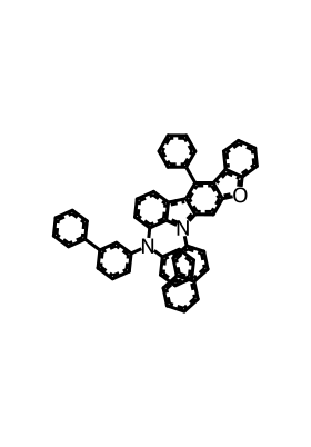 c1ccc(-c2cccc(N(c3ccccc3)c3cccc4c5c(-c6ccccc6)c6c(cc5n(-c5ccc7ccccc7c5)c34)oc3ccccc36)c2)cc1